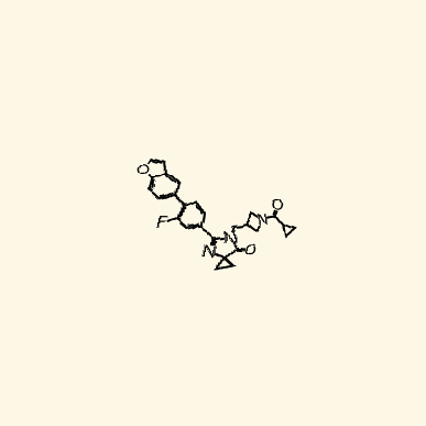 O=C(C1CC1)N1CC(CN2C(=O)C3(CC3)N=C2c2ccc(-c3ccc4occc4c3)c(F)c2)C1